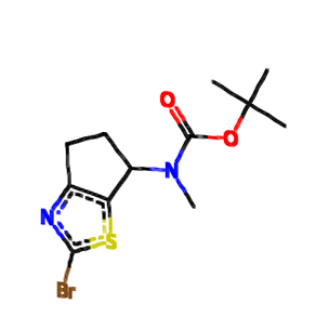 CN(C(=O)OC(C)(C)C)C1CCc2nc(Br)sc21